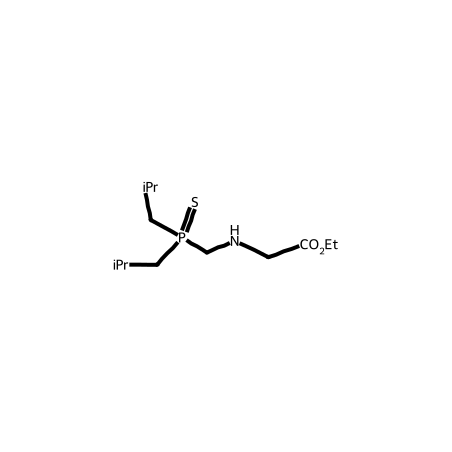 CCOC(=O)CNCP(=S)(CC(C)C)CC(C)C